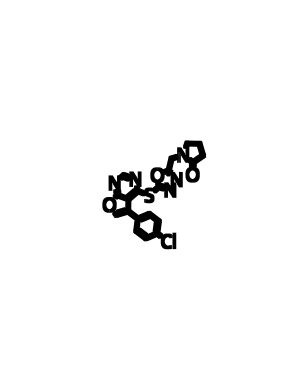 O=C1CCCN1Cc1nnc(Sc2ncnc3occ(-c4ccc(Cl)cc4)c23)o1